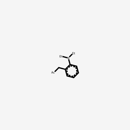 CCN(CC)c1ccccc1CC(C)=O